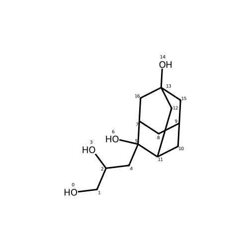 OCC(O)CC1(O)C2CC3CC1CC(O)(C3)C2